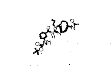 CCCn1c(NC(=O)c2cccc(NC(=O)OC(C)(C)C)c2)nc2cc(N(C)C(C)=O)ccc21